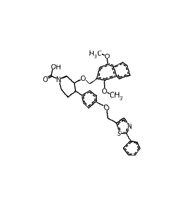 COc1cc(COC2CN(C(=O)O)CCC2c2ccc(OCc3cnc(-c4ccccc4)s3)cc2)c(OC)c2ccccc12